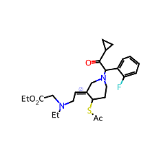 CCOC(=O)CN(CC)C/C=C1/CN(C(C(=O)C2CC2)c2ccccc2F)CCC1SC(C)=O